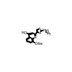 COc1cccc2c(O)cc(-c3csc(NC(C)C)n3)nc12